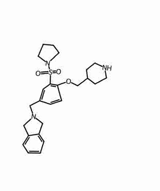 O=S(=O)(c1cc(CN2Cc3ccccc3C2)ccc1OCC1CCNCC1)N1CCCC1